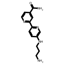 NCCCNc1ccc(-c2cc(C(N)=O)ccn2)nc1